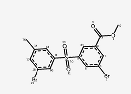 COC(=O)c1cc(Br)cc(S(=O)(=O)c2cc(C)cc(Br)c2)c1